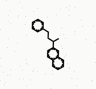 CC(CCc1ccccc1)c1ccc2ccccc2c1